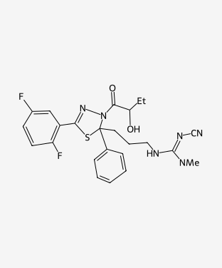 CCC(O)C(=O)N1N=C(c2cc(F)ccc2F)SC1(CCCNC(=NC#N)NC)c1ccccc1